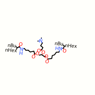 CCCCCCC(CCCC)C(=O)NCCCCCC(=O)OCC(COC(=O)CCCCCNC(=O)C(CCCC)CCCCCC)OC(=O)CCCN(C)C